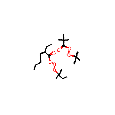 CC(C)(C)OOC(=O)C(C)(C)C.CCCCC(CC)C(=O)OOOC(C)(C)CC